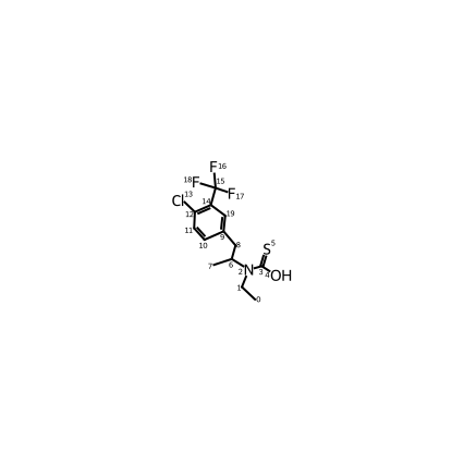 CCN(C(O)=S)C(C)Cc1ccc(Cl)c(C(F)(F)F)c1